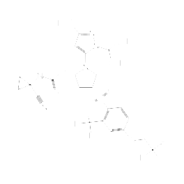 Cc1cc(N2C[C@H](S(=O)(=O)c3ccc(OCC(F)(F)F)cc3C(F)(F)F)C[C@@H]2OC(=O)NC2(C#N)CC2)n(C(C)C)n1